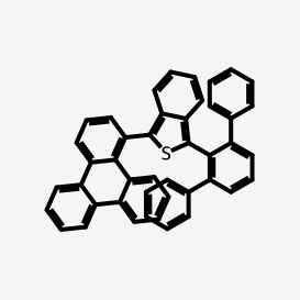 c1ccc(-c2cccc(-c3ccccc3)c2-c2sc(-c3cccc4c5ccccc5c5ccccc5c34)c3ccccc23)cc1